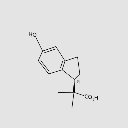 CC(C)(C(=O)O)[C@@H]1CCc2cc(O)ccc21